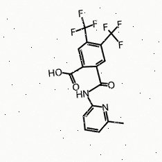 Cc1cccc(NC(=O)c2cc(C(F)(F)F)c(C(F)(F)F)cc2C(=O)O)n1